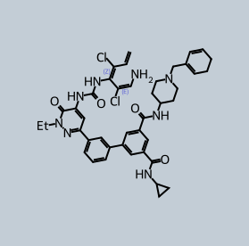 C=C/C(Cl)=C(NC(=O)Nc1cc(-c2cccc(-c3cc(C(=O)NC4CC4)cc(C(=O)NC4CCN(CC5=CCCC=C5)CC4)c3)c2)nn(CC)c1=O)\C(Cl)=C/N